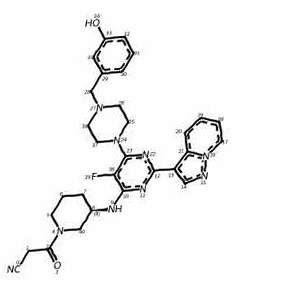 N#CCC(=O)N1CCC[C@@H](Nc2nc(-c3cnn4ccccc34)nc(N3CCN(Cc4cccc(O)c4)CC3)c2F)C1